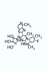 Cc1ccc([C@@H](C)Nc2nc(C)c(-c3nc4c(C)nccc4s3)c(N[C@@H]3C[C@H](CO)[C@@H](O)[C@H]3O)n2)cc1F